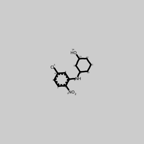 O=[N+]([O-])c1ccc(Cl)cc1NC1CCCC(O)C1